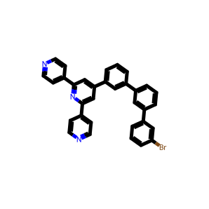 Brc1cccc(-c2cccc(-c3cccc(-c4cc(-c5ccncc5)nc(-c5ccncc5)c4)c3)c2)c1